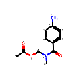 CC(=O)OCN(C)C(=O)c1ccc(N)cc1